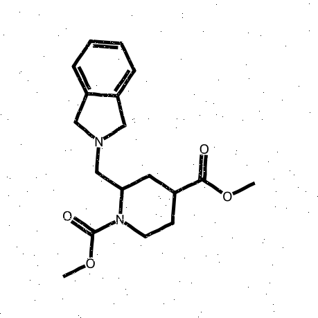 COC(=O)C1CCN(C(=O)OC)C(CN2Cc3ccccc3C2)C1